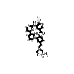 CCN(CC)CCc1ccc(NC(=O)c2cnc(C)c(Nc3nccc(-c4cccnc4)n3)c2)cc1